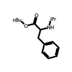 CCCCOC(=O)C(Cc1ccccc1)NC(C)C